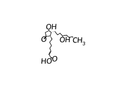 CCCCC(O)CCC[C@H]1[C@H](O)CC(=O)[C@@H]1CCCCC=CC(=O)O